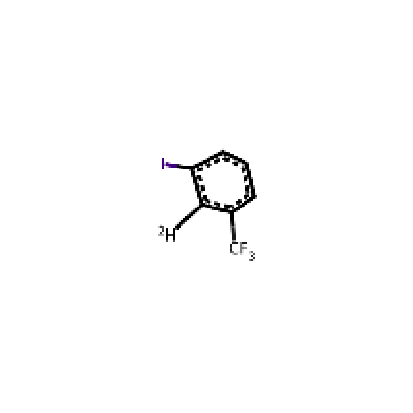 [2H]c1c(I)cccc1C(F)(F)F